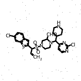 C=CC(c1cc2ccc(Cl)cc2s1)S(=O)(=O)N1CCN(C(c2ccnc(Cl)n2)C2CCNCC2)C(C=O)C1